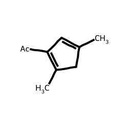 CC(=O)C1=C(C)CC(C)=C1